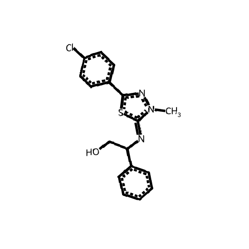 Cn1nc(-c2ccc(Cl)cc2)sc1=NC(CO)c1ccccc1